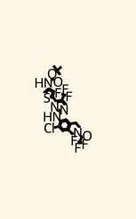 CC(C)(C)OC(=O)Nc1csc(-c2nc(Nc3cc4c(cc3Cl)CN(C(=O)C(F)(F)F)CC4)ncc2C(F)(F)F)c1